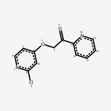 O=C(COc1ccnc(Cl)c1)c1ccccn1